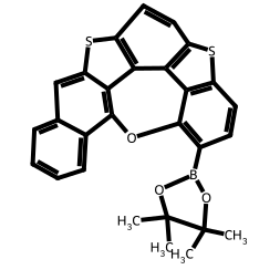 CC1(C)OB(c2ccc3sc4ccc5sc6cc7ccccc7c7oc2c3c4c5c67)OC1(C)C